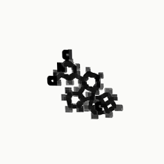 Clc1cc(-c2cccc3c2-c2ccccc2C32C3CC4CC5CC2C45C3)cc(Cl)n1